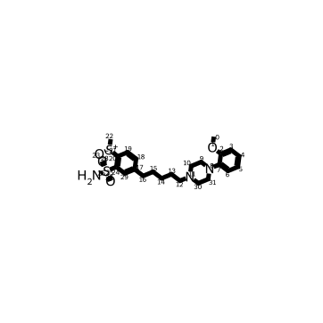 COc1ccccc1N1CCN(CCCCCc2ccc([S+](C)[O-])c(S(N)(=O)=O)c2)CC1